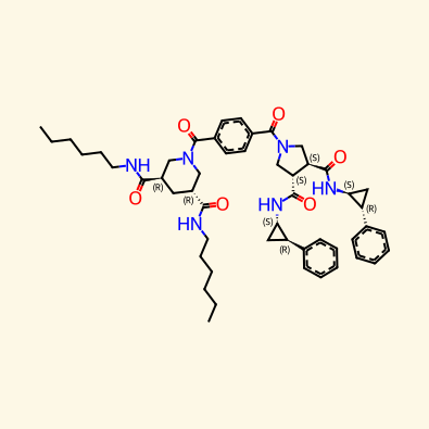 CCCCCCNC(=O)[C@@H]1C[C@@H](C(=O)NCCCCCC)CN(C(=O)c2ccc(C(=O)N3C[C@@H](C(=O)N[C@H]4C[C@@H]4c4ccccc4)[C@H](C(=O)N[C@H]4C[C@@H]4c4ccccc4)C3)cc2)C1